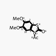 COc1cc2sc(=O)n(C(C)=O)c2cc1OC